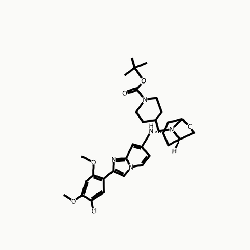 COc1cc(OC)c(-c2cn3ccc(N[C@@H]4CC5CC[C@H](C4)N5CC4CCN(C(=O)OC(C)(C)C)CC4)cc3n2)cc1Cl